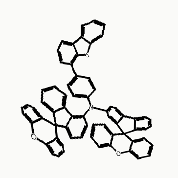 c1ccc2c(c1)Oc1ccccc1C21c2ccccc2-c2ccc(N(c3ccc(-c4cccc5c4sc4ccccc45)cc3)c3cccc4c3-c3ccccc3C43c4ccccc4Oc4ccccc43)cc21